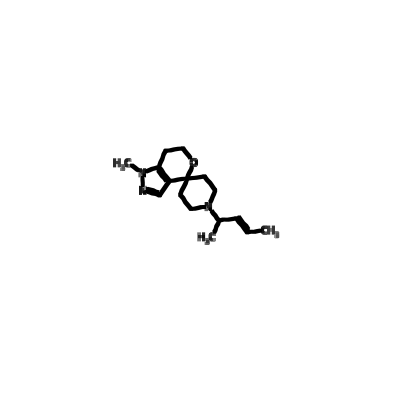 C/C=C/C(C)N1CCC2(CC1)OCCc1c2cnn1C